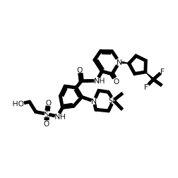 CC(F)(F)[C@@H]1CC[C@H](n2cccc(NC(=O)c3ccc(NS(=O)(=O)CCO)cc3N3CC[Si](C)(C)CC3)c2=O)C1